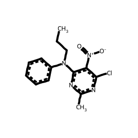 CCCN(c1ccccc1)c1nc(C)nc(Cl)c1[N+](=O)[O-]